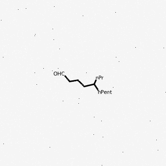 CCCCCC(CCC)CCCC=O